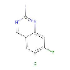 Fc1cc2nc(I)ncc2cc1Cl